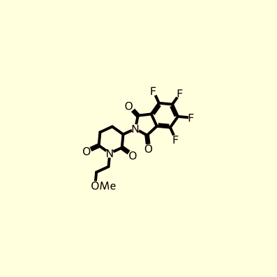 COCCN1C(=O)CCC(N2C(=O)c3c(F)c(F)c(F)c(F)c3C2=O)C1=O